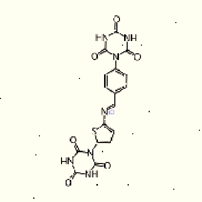 O=c1[nH]c(=O)n(-c2ccc(/C=N/c3ccc(-n4c(=O)[nH]c(=O)[nH]c4=O)s3)cc2)c(=O)[nH]1